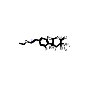 BC1(B)CC(B)(c2c(F)cc(/C=C/OCC)cc2F)C(=O)NC1=O